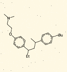 CCC(C)c1ccc(C(C)CC(CC)c2ccc(OCCN(C)C)cc2)cc1